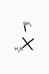 CC(C)(C)N.C[SiH3]